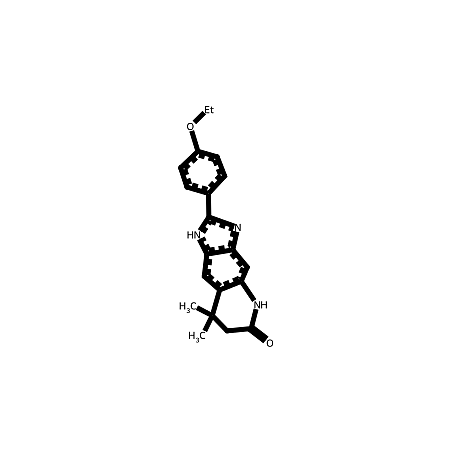 CCOc1ccc(-c2nc3cc4c(cc3[nH]2)C(C)(C)CC(=O)N4)cc1